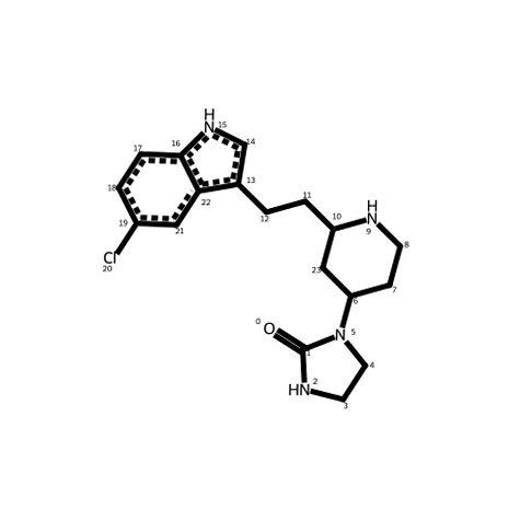 O=C1NCCN1C1CCNC(CCc2c[nH]c3ccc(Cl)cc23)C1